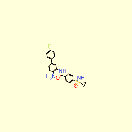 N=S(=O)(c1ccc(C(=O)Nc2cc(-c3ccc(F)cc3)ccc2N)cc1)C1CC1